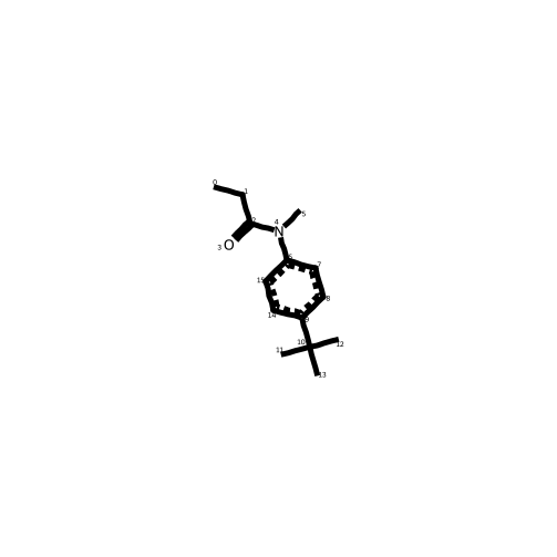 CCC(=O)N(C)c1ccc(C(C)(C)C)cc1